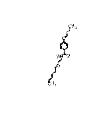 CCCCCCOCCNC(=O)c1ccc(OCCCC)cc1